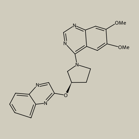 COc1cc2ncnc(N3CC[C@@H](Oc4cnc5ccccc5n4)C3)c2cc1OC